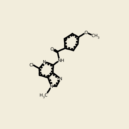 COc1ccc(C(=O)Nc2nc(Cl)cc3c2ncn3C)cc1